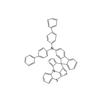 c1ccc(-c2ccc(N(c3ccc(-c4ccccc4)cc3)c3ccc4c(c3)C3(c5ccccc5-4)c4ccccc4N4c5ccccc5Sc5cccc3c54)cc2)cc1